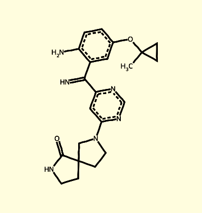 CC1(Oc2ccc(N)c(C(=N)c3cc(N4CCC5(CCNC5=O)C4)ncn3)c2)CC1